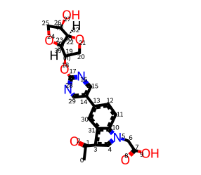 CC(=O)c1cn(CC(=O)O)c2ccc(-c3cnc(O[C@@H]4CO[C@H]5[C@@H]4OC[C@H]5O)nc3)cc12